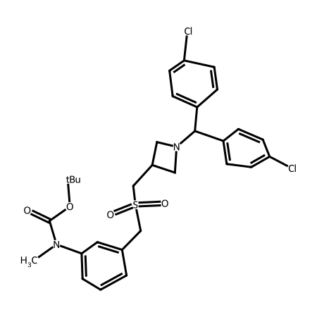 CN(C(=O)OC(C)(C)C)c1cccc(CS(=O)(=O)CC2CN(C(c3ccc(Cl)cc3)c3ccc(Cl)cc3)C2)c1